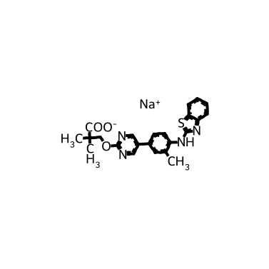 Cc1cc(-c2cnc(OCC(C)(C)C(=O)[O-])nc2)ccc1Nc1nc2ccccc2s1.[Na+]